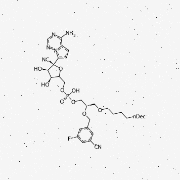 CCCCCCCCCCCCCCOC[C@H](COP(=O)(O)OCC1O[C@@](C#N)(c2ccc3c(N)ncnn23)[C@H](O)[C@@H]1O)OCc1cc(F)cc(C#N)c1